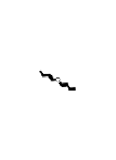 CCC=COC=CCC